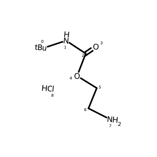 CC(C)(C)NC(=O)OCCN.Cl